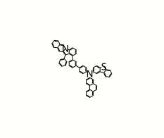 c1ccc(-c2c3c(-c4cccc(-c5ccc(N(c6ccc7c(ccc8ccccc87)c6)c6ccc7sc8ccccc8c7c6)cc5)c4)cccc3n3cc4ccccc4cc23)cc1